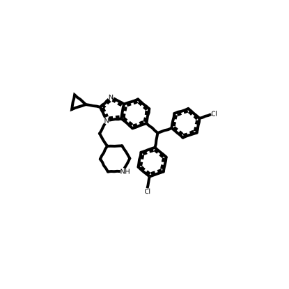 Clc1ccc(C(c2ccc(Cl)cc2)c2ccc3nc(C4CC4)n(CC4CCNCC4)c3c2)cc1